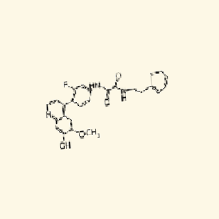 COc1cc2c(-c3ccc(NC(=O)C(=O)NCCc4ccccc4)cc3F)ccnc2cc1O